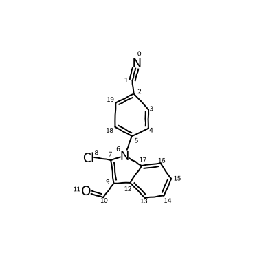 N#Cc1ccc(-n2c(Cl)c(C=O)c3ccccc32)cc1